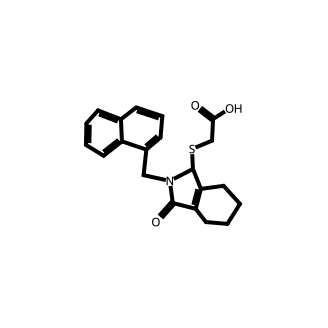 O=C(O)CSC1C2=C(CCCC2)C(=O)N1Cc1cccc2ccccc12